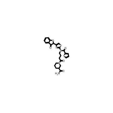 NC(=O)C1CCCN(C(=O)CCCN(C(=O)c2cccs2)c2nc(C3Oc4ccccc4C3=O)cs2)C1